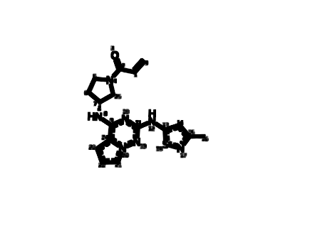 C=CC(=O)N1CC[C@@H](Nc2nc(Nc3cc(C)ns3)nn3cccc23)C1